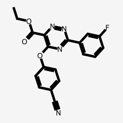 CCOC(=O)c1nnc(-c2cccc(F)c2)nc1Oc1ccc(C#N)cc1